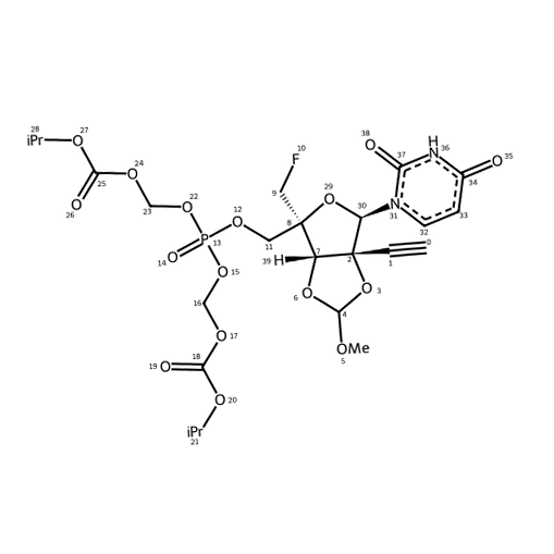 C#C[C@@]12OC(OC)O[C@@H]1[C@@](CF)(COP(=O)(OCOC(=O)OC(C)C)OCOC(=O)OC(C)C)O[C@H]2n1ccc(=O)[nH]c1=O